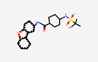 CCC(C)(C)S(=O)(=O)NC1CCC(C(=O)Nc2ccc3oc4ccccc4c3c2)CC1